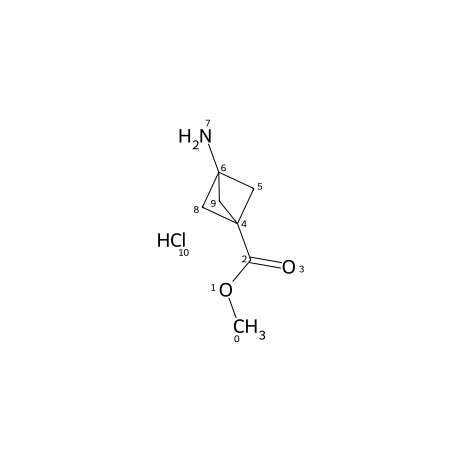 COC(=O)C12CC(N)(C1)C2.Cl